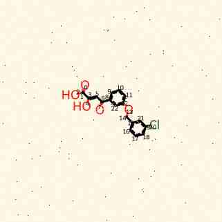 O=C(O)C(O)=CC(=O)c1cccc(OCc2cccc(Cl)c2)c1